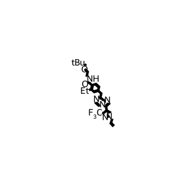 C=CCn1cc(-c2cnc3c(Cc4ccc(C(=O)NCCOCC(C)(C)C)c(CC)c4)nccn23)c(C(F)(F)F)n1